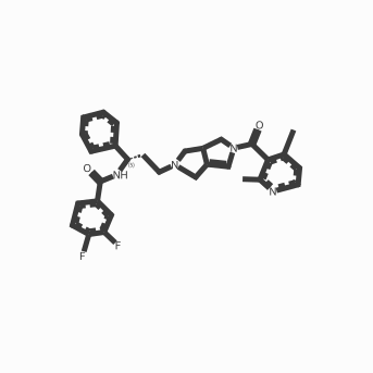 Cc1ccnc(C)c1C(=O)N1C=C2CN(CC[C@H](NC(=O)c3ccc(F)c(F)c3)c3ccccc3)CC2C1